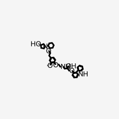 COc1cc(CCO[C@H]2CCCC[C@@H]2N2CC[C@@H](O)C2)ccc1OCCNCC(O)COc1cccc2[nH]c3ccccc3c12